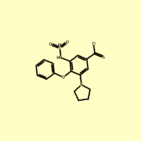 O=[SH](=O)Nc1cc(C(=S)Cl)cc(N2CCCC2)c1Oc1ccccc1